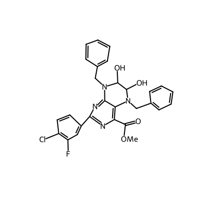 COC(=O)c1nc(-c2ccc(Cl)c(F)c2)nc2c1N(Cc1ccccc1)C(O)C(O)N2Cc1ccccc1